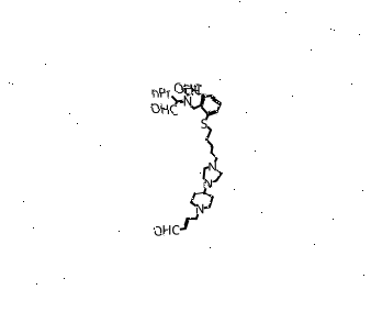 CCCC(C=O)N(C)Cc1c(C=O)cccc1SCCCCCN1CCN(C2CCN(C/C=C/C=O)CC2)CC1